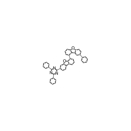 c1ccc(-c2ccc3oc4cccc(-c5cccc6c5oc5cc(-c7nc(-c8ccccc8)nc(-c8ccccc8)n7)ccc56)c4c3c2)cc1